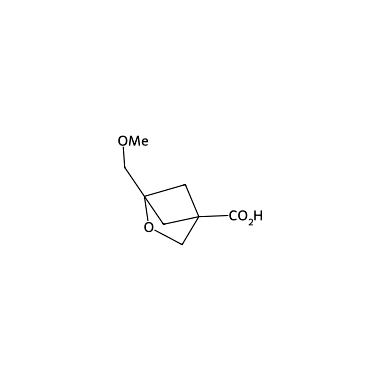 COCC12CC(C(=O)O)(CO1)C2